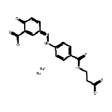 O=C([O-])CCNC(=O)c1ccc(N/N=C2/C=CC(=O)C(C(=O)[O-])=C2)cc1.[Na+].[Na+]